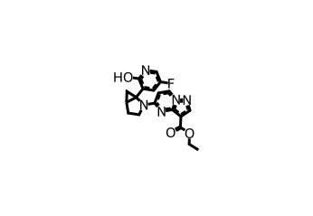 CCOC(=O)c1cnn2ccc(N3CCC4CC43c3cc(F)cnc3O)nc12